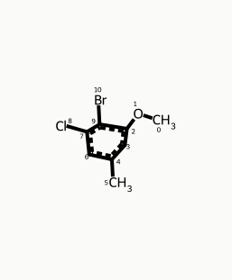 COc1cc(C)cc(Cl)c1Br